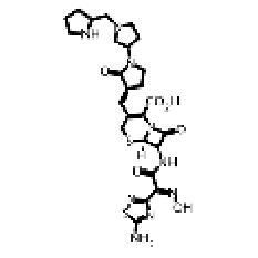 Nc1nc(C(=NO)C(=O)N[C@@H]2C(=O)N3C(C(=O)O)=C(C=C4CCN(C5CCN(CC6CCCN6)C5)C4=O)CS[C@H]23)ns1